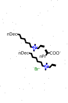 C=C(CCC)C(=O)[O-].C=CC[N+](C)(C)CCCCCCCCCCCCCCCC.C=CC[N+](C)(C)CCCCCCCCCCCCCCCC.[Br-]